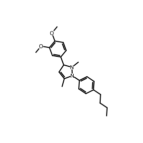 CCCCc1ccc(N2C(C)=CC(c3ccc(OC)c(OC)c3)N2C)cc1